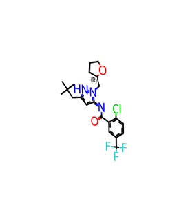 CC(C)(C)Cc1cc(=NC(=O)c2cc(C(F)(F)F)ccc2Cl)n(C[C@H]2CCCO2)[nH]1